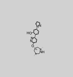 C[C@H]1CN[C@@H](C)C[C@@H](Oc2ccc(-c3ccc(-n4cccn4)cc3O)nn2)C1